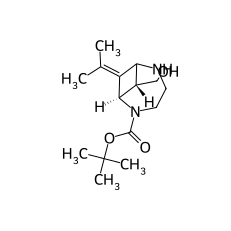 CC(C)=C1C2NCCN(C(=O)OC(C)(C)C)[C@@H]1[C@H]2CO